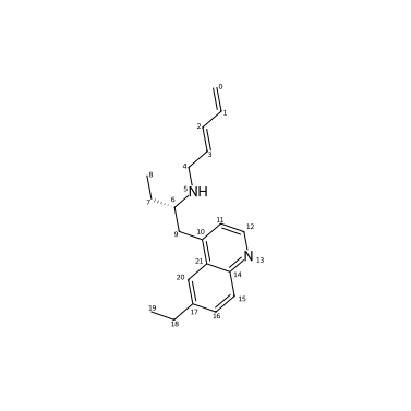 C=C/C=C/CN[C@@H](CC)Cc1ccnc2ccc(CC)cc12